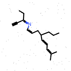 C#C/C(CC)=N\C=C/CC(/C=C/C=C(C)C)CCC